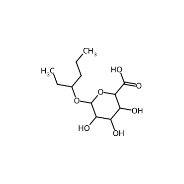 CCCC(CC)OC1OC(C(=O)O)C(O)C(O)C1O